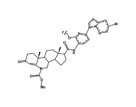 CC(C)(C)OC(=O)N1CC2C3CCC(C(=O)Nc4ccc(-n5ccc6cc(Br)cnc65)nc4OC(F)(F)F)[C@@]3(C)CCC2[C@@]2(C)CCC(=O)C=C12